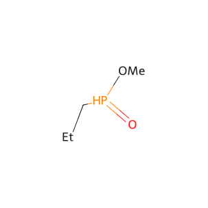 [CH2]CC[PH](=O)OC